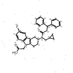 O=C(O)Cn1c2c(c3cc(F)ccc31)CC(N(CC1CC1)C(=O)CC(c1ccccc1)c1ccccc1)CC2